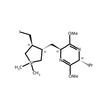 COC1=N[C@H](C(C)C)C(OC)=N[C@H]1C[C@@H]1C[Si](C)(C)C[C@H]1CI